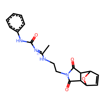 C/C(=N\C(=O)Nc1ccccc1)NCCN1C(=O)C2C3C=CC(O3)C2C1=O